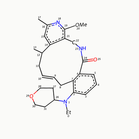 CCN(c1cccc2c1C/C=C/CC(C)c1cc(C)nc(OC)c1CNC2=O)C1CCOCC1